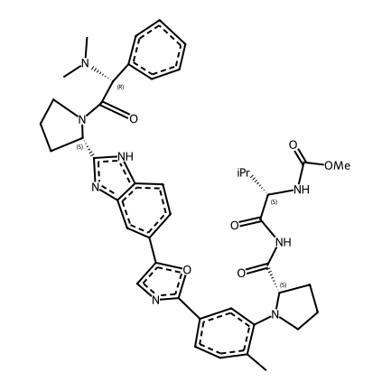 COC(=O)N[C@H](C(=O)NC(=O)[C@@H]1CCCN1c1cc(-c2ncc(-c3ccc4[nH]c([C@@H]5CCCN5C(=O)[C@@H](c5ccccc5)N(C)C)nc4c3)o2)ccc1C)C(C)C